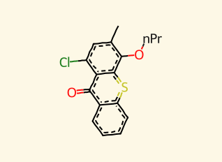 CCCOc1c(C)cc(Cl)c2c(=O)c3ccccc3sc12